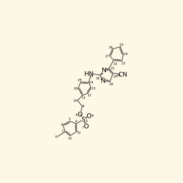 Cc1ccc(S(=O)(=O)OCCc2ccc(Nc3ncc(C#N)c(-c4ccccc4)n3)cc2)cc1